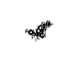 Cn1ncc(S(=O)(=O)N2CC=C3Cc4c(cnn4-c4ccc(F)cc4)C[C@]3(C(=O)c3cc(C(F)(F)F)ccn3)C2)n1